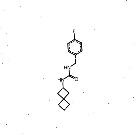 O=C(NCc1ccc(F)cc1)NC1CC2(CCC2)C1